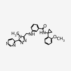 COc1ccccc1C1(NC(=O)c2cccc(NCc3nnc(-c4ccncn4)n3C)c2)CC1